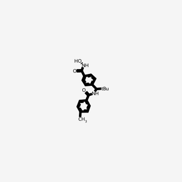 Cc1ccc(C(=O)NC(c2ccc(C(=O)NO)cc2)C(C)(C)C)cc1